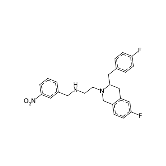 O=[N+]([O-])c1cccc(CNCCN2Cc3ccc(F)cc3CC2Cc2ccc(F)cc2)c1